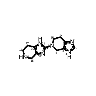 c1nc2c([nH]1)CN(c1nc3c([nH]1)CCNC3)CC2